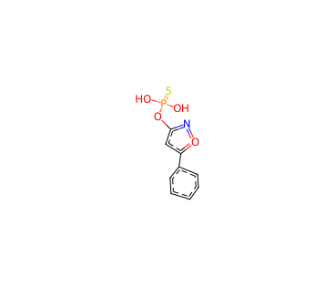 OP(O)(=S)Oc1cc(-c2ccccc2)on1